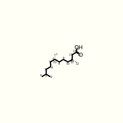 CC(C)CCC[C@H](C)CCC[C@@H](C)CC(=O)O